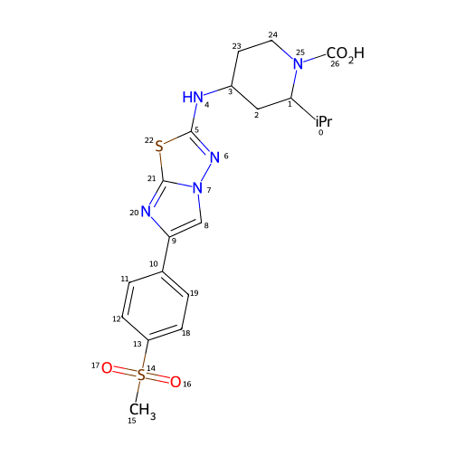 CC(C)C1CC(Nc2nn3cc(-c4ccc(S(C)(=O)=O)cc4)nc3s2)CCN1C(=O)O